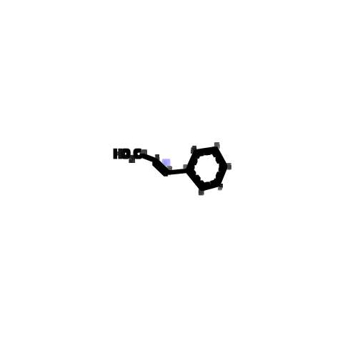 O=C(O)/C=C/c1[c]cccc1